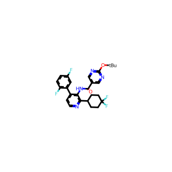 CC(C)(C)Oc1ncc(C(=O)Nc2c(-c3cc(F)ccc3F)ccnc2C2CCC(F)(F)CC2)cn1